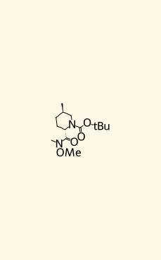 CON(C)C(=O)[C@@H]1CC[C@@H](C)CN1C(=O)OC(C)(C)C